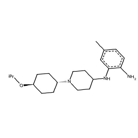 Cc1ccc(N)c(NC2CCN([C@H]3CC[C@H](OC(C)C)CC3)CC2)c1